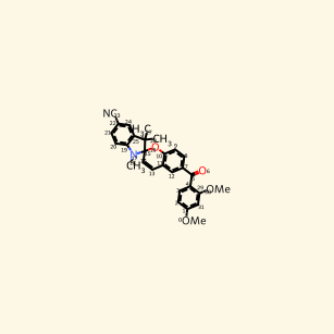 COc1ccc(C(=O)c2ccc3c(c2)C=CC2(O3)N(C)c3ccc(C#N)cc3C2(C)C)c(OC)c1